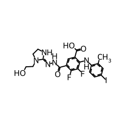 Cc1cc(I)ccc1Nc1c(C(=O)O)cc(C(=O)N/N=C2\NCCN2CCO)c(F)c1F